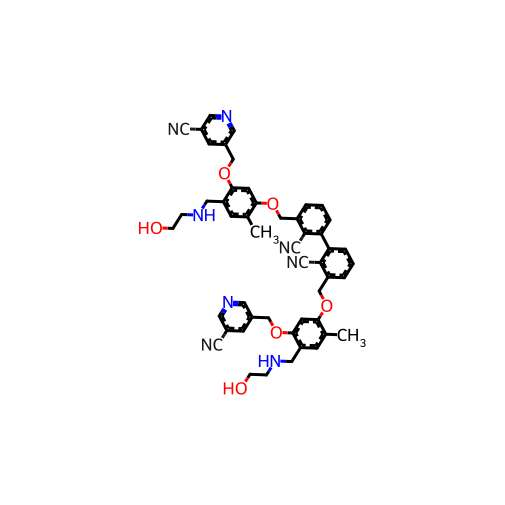 Cc1cc(CNCCO)c(OCc2cncc(C#N)c2)cc1OCc1cccc(-c2cccc(COc3cc(OCc4cncc(C#N)c4)c(CNCCO)cc3C)c2C#N)c1C#N